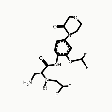 CCN(CC(F)F)[C@@H](CN)C(=O)Nc1ccc(N2CCOCC2=O)cc1OC(F)F